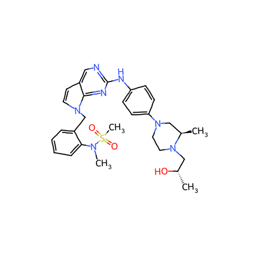 C[C@H](O)CN1CCN(c2ccc(Nc3ncc4ccn(Cc5ccccc5N(C)S(C)(=O)=O)c4n3)cc2)C[C@H]1C